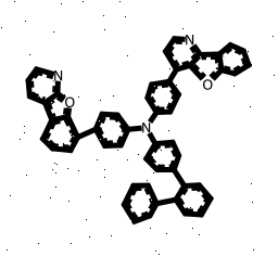 c1ccc(-c2ccccc2-c2ccc(N(c3ccc(-c4cccc5c4oc4ncccc45)cc3)c3ccc(-c4ccnc5c4oc4ccccc45)cc3)cc2)cc1